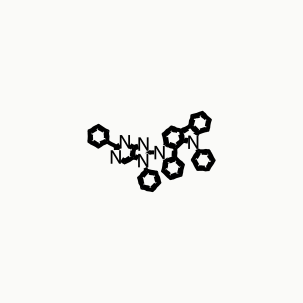 c1ccc(-c2ncc3c(n2)nc(-n2c4ccccc4c4c2ccc2c5ccccc5n(-c5ccccc5)c24)n3-c2ccccc2)cc1